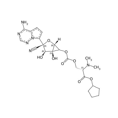 CN(C)[C@@H](COC(=O)OC1[C@H]2O[C@@](C#N)(c3ccc4c(N)ncnn34)[C@H](O)[C@@]12O)C(=O)OC1CCCC1